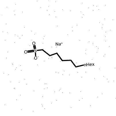 CCCCCCCCCCCCS(=O)(=O)[O-].[Na+]